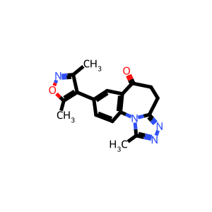 Cc1noc(C)c1-c1ccc2c(c1)C(=O)CCc1nnc(C)n1-2